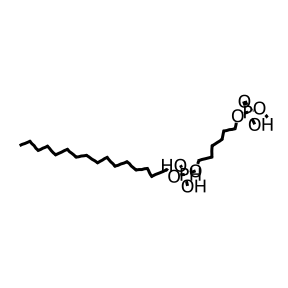 CCCCCCCCCCCCCCCCO[PH](O)(O)OCCCCCCOP(=O)(O)OC